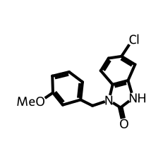 COc1cccc(Cn2c(=O)[nH]c3cc(Cl)ccc32)c1